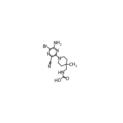 CC1(CNC(=O)O)CCN(c2nc(N)c(Br)nc2C#N)CC1